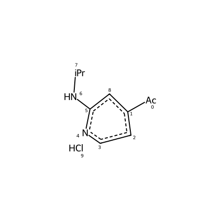 CC(=O)c1ccnc(NC(C)C)c1.Cl